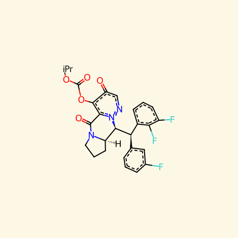 CC(C)OC(=O)Oc1c2n(ncc1=O)[C@@H]([C@H](c1cccc(F)c1)c1cccc(F)c1F)[C@H]1CCCN1C2=O